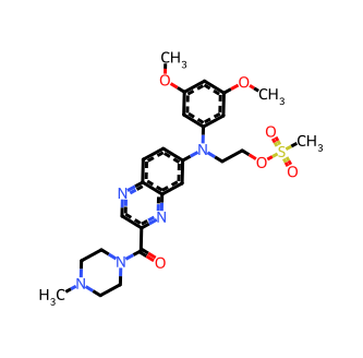 COc1cc(OC)cc(N(CCOS(C)(=O)=O)c2ccc3ncc(C(=O)N4CCN(C)CC4)nc3c2)c1